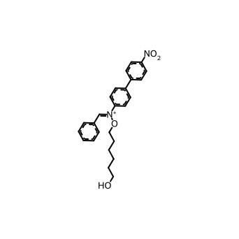 O=[N+]([O-])c1ccc(-c2ccc([N+](=Cc3ccccc3)OCCCCCCO)cc2)cc1